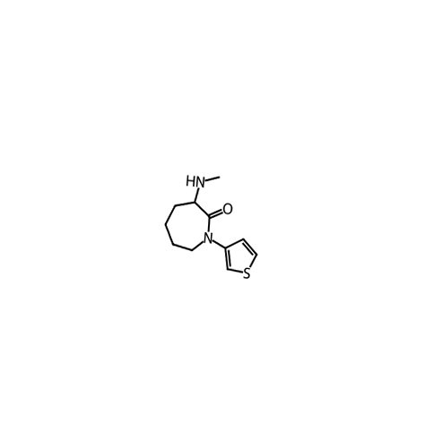 CNC1CCCCN(c2ccsc2)C1=O